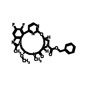 CO[C@H]1CN(C)C(=O)[C@@H]2C[C@@H](CN2C(=O)OCc2ccccc2)Oc2nccc(n2)-c2c(F)c(F)cc3nc(C)n(c23)C1